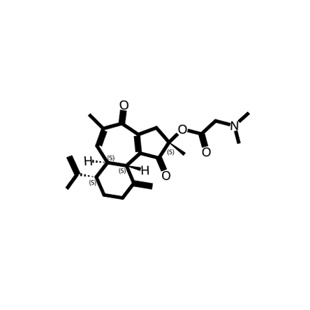 C=C1CC[C@H](C(=C)C)[C@H]2C=C(C)C(=O)C3=C(C(=O)[C@@](C)(OC(=O)CN(C)C)C3)[C@H]12